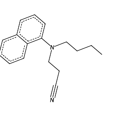 CCCCN(CCC#N)c1cccc2ccccc12